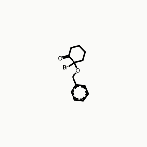 O=C1CCCCC1(Br)OCc1ccccc1